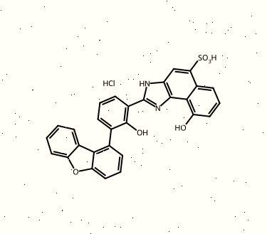 Cl.O=S(=O)(O)c1cc2[nH]c(-c3cccc(-c4cccc5oc6ccccc6c45)c3O)nc2c2c(O)cccc12